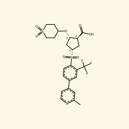 Cc1cc(-c2ccc(S(=O)(=O)[C@@H]3C[C@H](OC4CCS(=O)(=O)CC4)[C@@H](C(=O)O)C3)c(C(F)(F)F)c2)ccn1